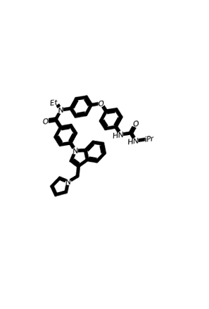 CCN(C(=O)c1ccc(-n2cc(CN3CCCC3)c3ccccc32)cc1)c1ccc(Oc2ccc(NC(=O)NC(C)C)cc2)cc1